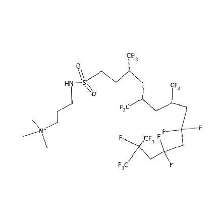 C[N+](C)(C)CCCNS(=O)(=O)CCC(CC(CC(CC(F)(F)CC(F)(F)CC(F)(C(F)(F)F)C(F)(F)F)C(F)(F)F)C(F)(F)F)C(F)(F)F